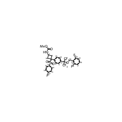 COC(=O)NC1CC(c2ccc(C(OCc3c(F)cccc3F)(C(F)(F)F)C(F)(F)F)cc2)(S(=O)(=O)c2ccc(F)cc2)C1